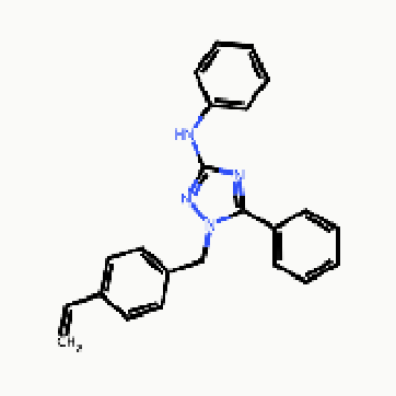 C=Cc1ccc(Cn2nc(Nc3ccccc3)nc2-c2ccccc2)cc1